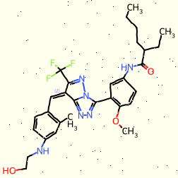 CCCCC(CC)C(=O)Nc1ccc(OC)c(-c2nnc3/c(=C\c4ccc(NCCO)cc4C)c(C(F)(F)F)nn23)c1